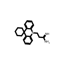 N=C(N)CCN1c2ccccc2C2(CCCCC2)c2ccccc21